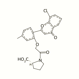 Cc1ccc(-c2cc(=O)c3cccc(Cl)c3o2)c(OCC(=O)N2CCC[C@@H]2C(=O)O)c1